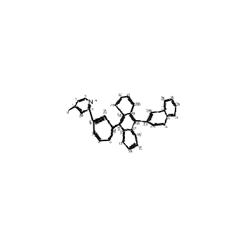 Cc1ccnc(-c2cccc(-c3c4ccccc4c(-c4ccc5ccccc5c4)c4ccccc34)c2)c1